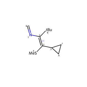 C=N/C(=C(\SC)C1CC1)C(C)(C)C